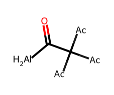 CC(=O)C(C(C)=O)(C(C)=O)[C](=O)[AlH2]